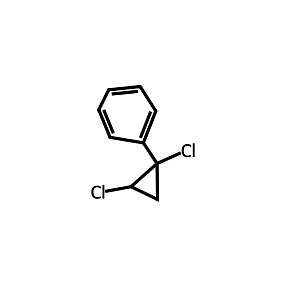 ClC1CC1(Cl)c1ccccc1